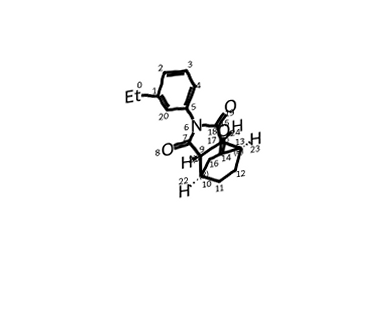 CCc1cccc(N2C(=O)[C@H]3[C@@H]4CC[C@@H](C(=O)C4)[C@H]3C2=O)c1